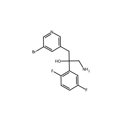 NCC(O)(Cc1cncc(Br)c1)c1cc(F)ccc1F